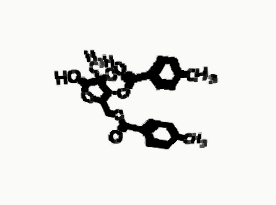 Cc1ccc(C(=O)OCC2OC(O)[C@](C)(O)[C@@H]2OC(=O)c2ccc(C)cc2)cc1